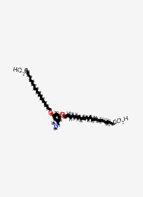 CN(C)Cc1cc(OCCCCCCC=CCC=CCC=CCCCCCCCC(=O)O)cc(OCCCCCCC=CCC=CCC=CCCCCCCCC(=O)O)c1